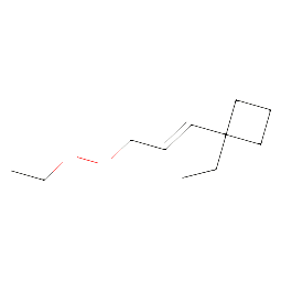 CCOOC/C=C/C1(CC)CCC1